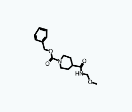 COCNC(=O)C1CCN(C(=O)OCc2ccccc2)CC1